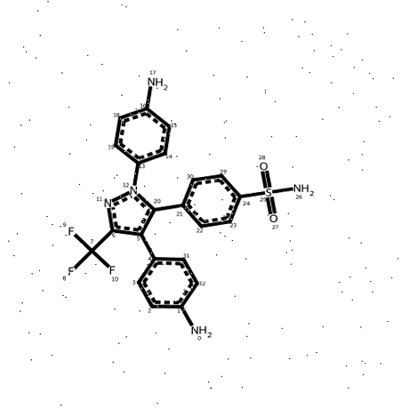 Nc1ccc(-c2c(C(F)(F)F)nn(-c3ccc(N)cc3)c2-c2ccc(S(N)(=O)=O)cc2)cc1